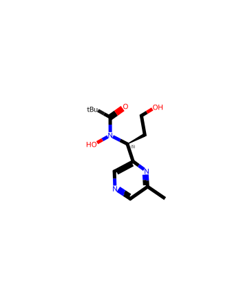 Cc1cncc([C@H](CCO)N(O)C(=O)C(C)(C)C)n1